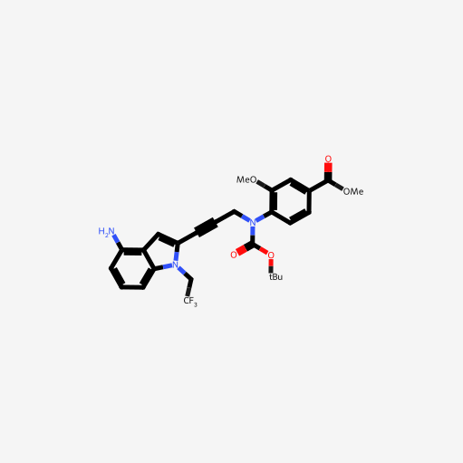 COC(=O)c1ccc(N(CC#Cc2cc3c(N)cccc3n2CC(F)(F)F)C(=O)OC(C)(C)C)c(OC)c1